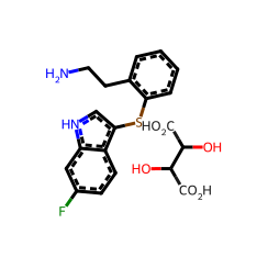 NCCc1ccccc1Sc1c[nH]c2cc(F)ccc12.O=C(O)C(O)C(O)C(=O)O